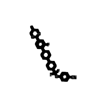 CC1COC(c2ccc(C3CCC(C4CCC(C(F)(F)Oc5ccc(C#N)cc5)CC4)CC3)c(F)c2)OC1